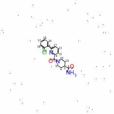 NC(=O)C1CCN(C(=O)c2cccc(-c3ccccc3Cl)n2)CC1